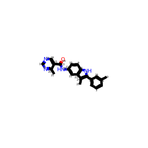 Cc1cccc(-c2[nH]c3ccc(NC(=O)c4cncnc4C)cc3c2C)c1